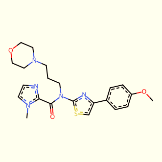 COc1ccc(-c2csc(N(CCCN3CCOCC3)C(=O)c3nccn3C)n2)cc1